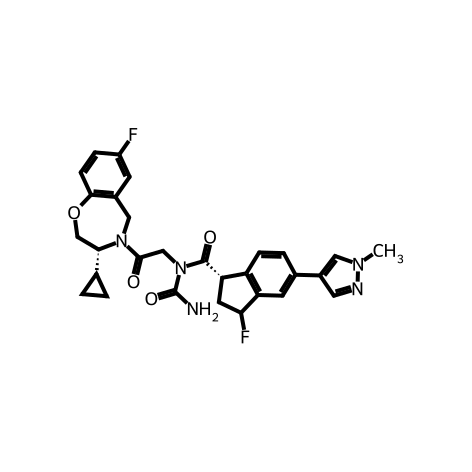 Cn1cc(-c2ccc3c(c2)C(F)C[C@@H]3C(=O)N(CC(=O)N2Cc3cc(F)ccc3OC[C@H]2C2CC2)C(N)=O)cn1